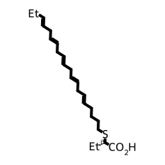 CCC=CCC=CCC=CCC=CCC=CCCCCS[C@@H](CC)C(=O)O